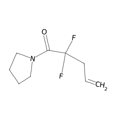 C=CCC(F)(F)C(=O)N1CCCC1